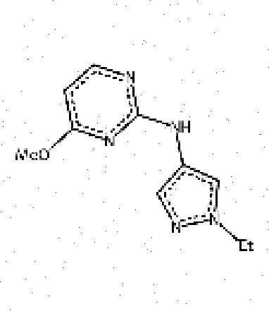 CCn1cc(Nc2nccc(OC)n2)cn1